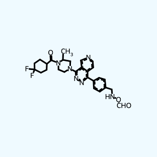 CC1CN(c2nnc(-c3ccc(CNOC=O)cc3)c3ccncc23)CCN1C(=O)C1CCC(F)(F)CC1